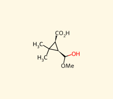 COC(O)[C@@H]1[C@H](C(=O)O)C1(C)C